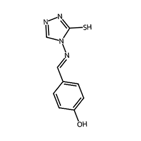 Oc1ccc(/C=N/n2cnnc2S)cc1